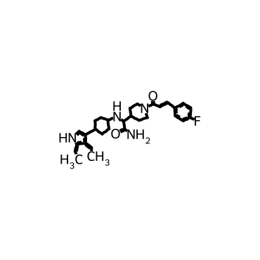 C/C=c1/c(C2CCC(NC(C(N)=O)C3CCN(C(=O)/C=C/c4ccc(F)cc4)CC3)CC2)c[nH]/c1=C/C